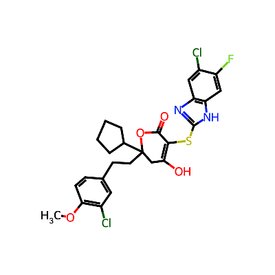 COc1ccc(CCC2(C3CCCC3)CC(O)=C(Sc3nc4cc(Cl)c(F)cc4[nH]3)C(=O)O2)cc1Cl